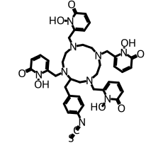 O=c1cccc(CN2CCN(Cc3cccc(=O)n3O)CCN(Cc3cccc(=O)n3O)C(Cc3ccc(N=C=S)cc3)CN(Cc3cccc(=O)n3O)CC2)n1O